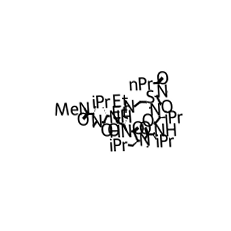 CCCC(=O)N(C)[C@H](SCCCN(CC)CC)C(=O)N(C)[C@H](C(=O)N[C@H](C(=O)N(C)[C@@H](CC(C)C)C(=O)N[C@@H](C)C(=O)N[C@@H](C)C(=O)N(C)[C@@H](CC(C)C)C(=O)NC)C(C)C)C(C)C